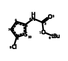 CC(C)(C)OC(=O)Nc1ccc(Cl)s1